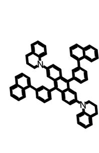 c1cc(-c2cccc3ccccc23)cc(-c2c3ccc(N4CCCc5ccccc54)cc3c(-c3cccc(-c4cccc5ccccc45)c3)c3ccc(N4CCCc5ccccc54)cc23)c1